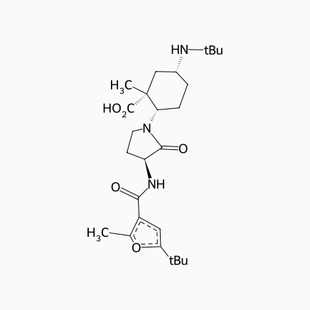 Cc1oc(C(C)(C)C)cc1C(=O)N[C@H]1CCN([C@H]2CC[C@@H](NC(C)(C)C)C[C@@]2(C)C(=O)O)C1=O